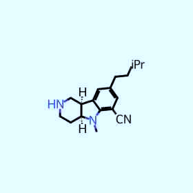 CC(C)CCc1cc(C#N)c2c(c1)[C@@H]1CNCC[C@@H]1N2C